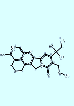 C=C(C)C1=c2c(c3c(n/c2=C/F)-c2cc(C(O)(O)CC)c(COC)c(=O)n2C3)CCC1